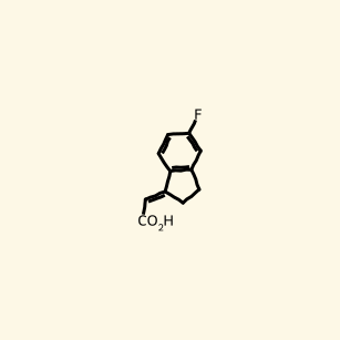 O=C(O)C=C1CCc2cc(F)ccc21